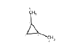 CC1[CH]C1C